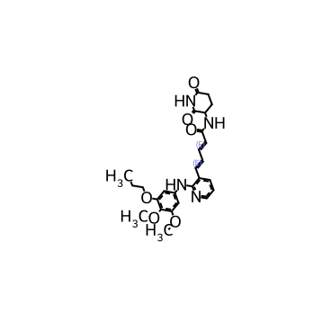 CCCOc1cc(Nc2ncccc2/C=C/C=C/C(=O)NC2CCC(=O)NC2=O)cc(OC)c1OC